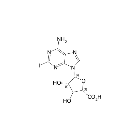 Nc1nc(I)nc2c1ncn2[C@@H]1O[C@H](C(=O)O)C(O)[C@@H]1O